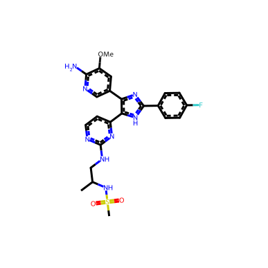 COc1cc(-c2nc(-c3ccc(F)cc3)[nH]c2-c2ccnc(NCC(C)NS(C)(=O)=O)n2)cnc1N